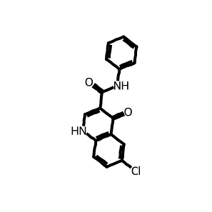 O=C(Nc1ccccc1)c1c[nH]c2ccc(Cl)cc2c1=O